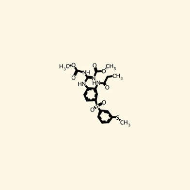 CCC(=O)Nc1cc(S(=O)(=O)c2cccc(SC)c2)ccc1NC(=NC(=O)OC)NC(=O)OC